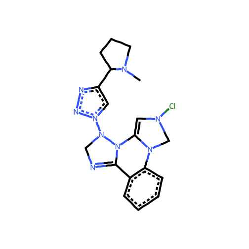 CN1CCCC1c1cn(N2CN=C3c4ccccc4N4CN(Cl)C=C4N32)nn1